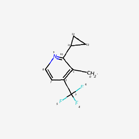 [CH2]c1c(C(F)(F)F)ccnc1C1CC1